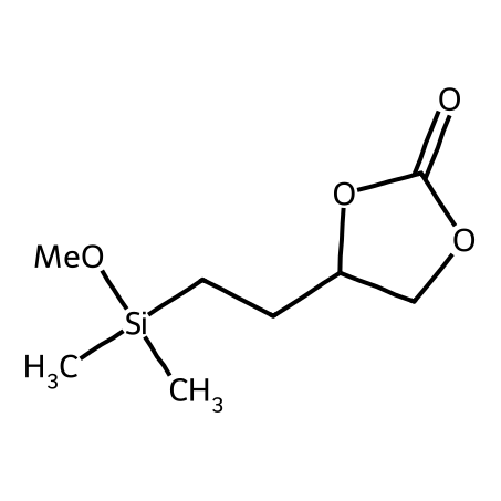 CO[Si](C)(C)CCC1COC(=O)O1